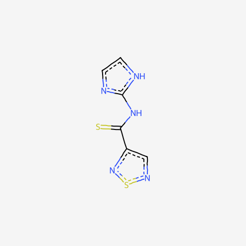 S=C(Nc1ncc[nH]1)c1cnsn1